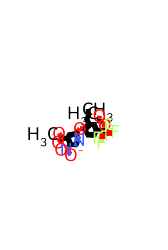 CCCc1cc(C(OCOC)(C(F)(F)F)C(F)(F)F)ccc1Oc1cc(C(=O)OC)c([N+](=O)[O-])cn1